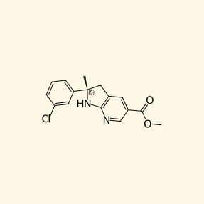 COC(=O)c1cnc2c(c1)C[C@@](C)(c1cccc(Cl)c1)N2